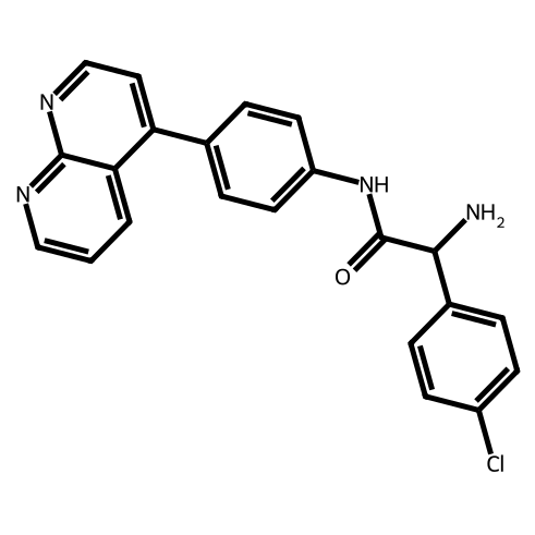 NC(C(=O)Nc1ccc(-c2ccnc3ncccc23)cc1)c1ccc(Cl)cc1